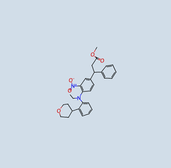 CCN(c1ccccc1C1CCOCC1)c1ccc(C(CC(=O)OC)c2ccccc2)cc1[N+](=O)[O-]